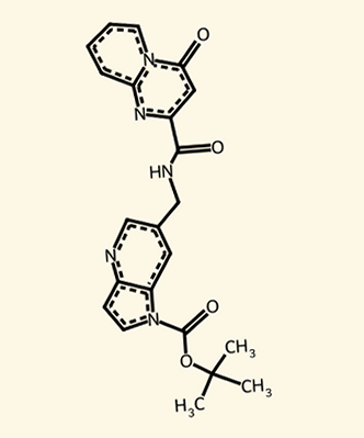 CC(C)(C)OC(=O)n1ccc2ncc(CNC(=O)c3cc(=O)n4ccccc4n3)cc21